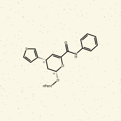 CCCCCO[C@@H]1C[C@H](c2ccsc2)C=C(C(=O)Nc2ccccc2)O1